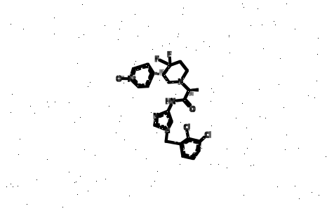 C[C@@H](C(=O)Nc1cn(Cc2cccc(Cl)c2Cl)cn1)N1CCC(F)(F)[C@@H](c2cc[n+]([O-])cc2)C1